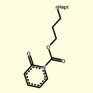 CCCCCCCCCCOC(=O)n1ccccc1=O